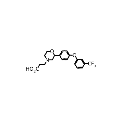 O=C(O)CCN1CCOC(c2ccc(Oc3cccc(C(F)(F)F)c3)cc2)C1